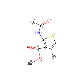 CC(C)c1csc(NC(=O)C(F)(F)F)c1C(=O)OC(C)(C)C